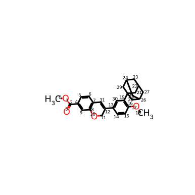 COC(=O)c1ccc2c(c1)OCC(c1ccc(OC)c(C34CC5CC(CC(C5)C3)C4)c1)=C2